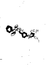 Cc1cc(C(=O)O)n(-c2ccc(CNS(=O)(=O)c3ccccc3)cc2)n1